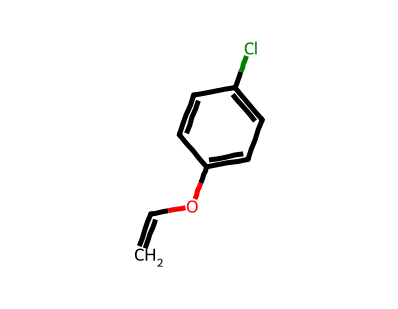 C=COc1ccc(Cl)cc1